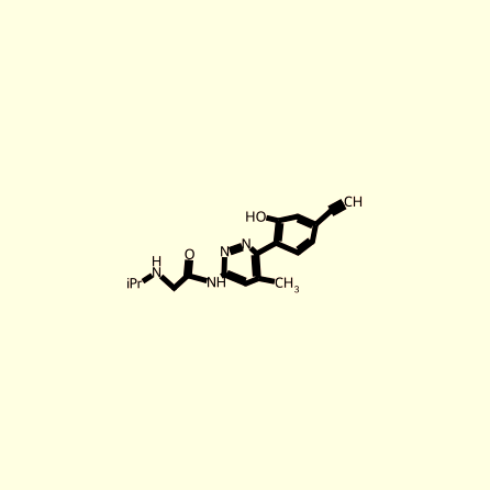 C#Cc1ccc(-c2nnc(NC(=O)CNC(C)C)cc2C)c(O)c1